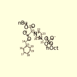 CCCCCCCCOS(=O)(=O)[O-].CCCCOC(=O)C(C(=O)OCc1ccccc1)[n+]1ccn(C)c1